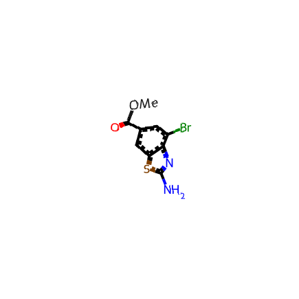 COC(=O)c1cc(Br)c2nc(N)sc2c1